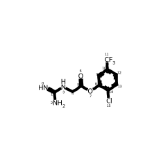 N=C(N)NCC(=O)Oc1cc(C(F)(F)F)ccc1Cl